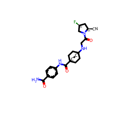 N#C[C@@H]1C[C@H](F)CN1C(=O)CNC12CCC(C(=O)Nc3ccc(C(N)=O)cc3)(CC1)CC2